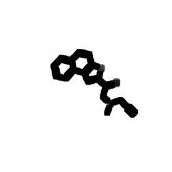 C#CCN(C)CC(=O)c1cc2c(ccc3ccccc32)o1